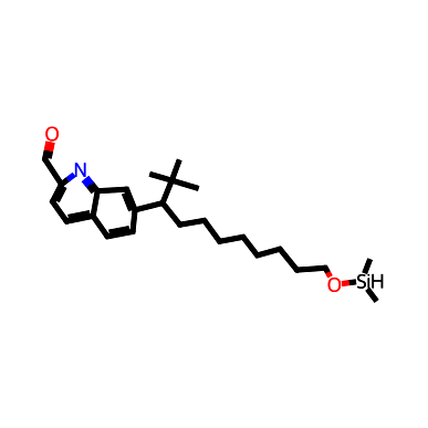 C[SiH](C)OCCCCCCCCC(c1ccc2ccc(C=O)nc2c1)C(C)(C)C